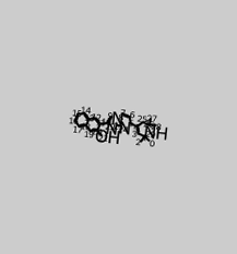 CC1(C)C=C(c2ccn3cc(-c4cc5ccccc5cc4O)nc3n2)CC(C)(C)N1